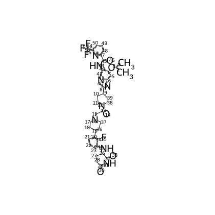 CC(C)Oc1cc2nc(C3CCN(C(=O)CN4CCC(c5cccc(NC6CCC(=O)NC6=O)c5F)CC4)CC3)cn2cc1NC(=O)c1cccc(C(F)(F)F)n1